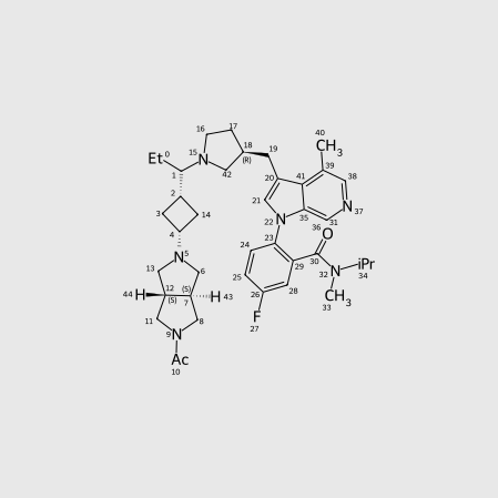 CCC([C@H]1C[C@@H](N2C[C@H]3CN(C(C)=O)C[C@@H]3C2)C1)N1CC[C@@H](Cc2cn(-c3ccc(F)cc3C(=O)N(C)C(C)C)c3cncc(C)c23)C1